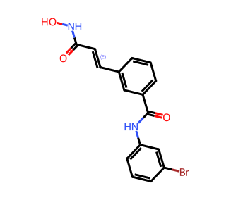 O=C(/C=C/c1cccc(C(=O)Nc2cccc(Br)c2)c1)NO